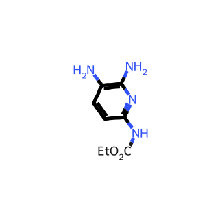 CCOC(=O)Nc1ccc(N)c(N)n1